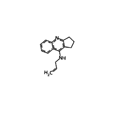 C=CCNc1c2c(nc3ccccc13)CCC2